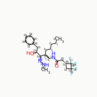 CCCCCC(=C\NC(=O)C[C@@H]1CC(F)(F)C1(F)F)/C(=N\NC)C(O)Cc1ccccc1